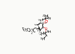 [2H]CC([2H])([2H])Oc1cc(C(=O)OCC)ccc1OC([2H])([2H])[2H]